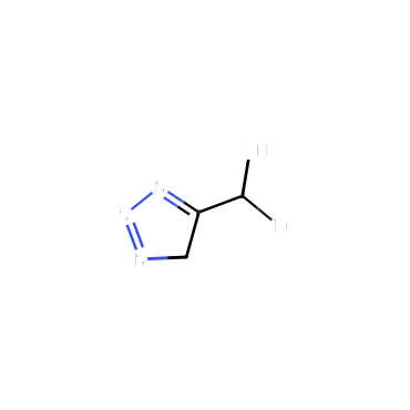 CCC(C)C1=NN=NC1